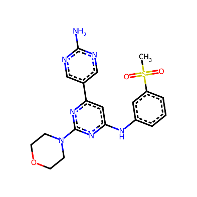 CS(=O)(=O)c1cccc(Nc2cc(-c3cnc(N)nc3)nc(N3CCOCC3)n2)c1